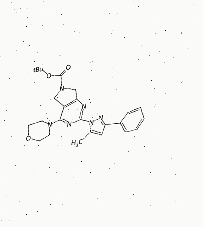 Cc1cc(-c2ccccc2)nn1-c1nc2c(c(N3CCOCC3)n1)CN(C(=O)OC(C)(C)C)C2